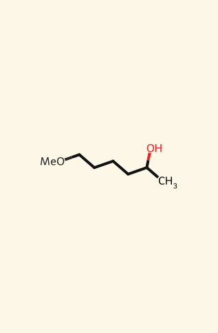 COCCCCC(C)O